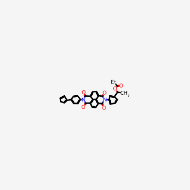 CCC(=O)OC(C)c1cccc(N2C(=O)c3ccc4c5c(ccc(c35)C2=O)C(=O)N(c2ccc(C3=CCC=C3)cc2)C4=O)c1